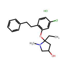 CCC1(Oc2cc(Cl)ccc2CCc2ccccc2)CC(O)CN1C.Cl